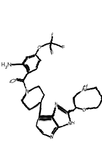 Nc1cc(OC(F)(F)F)ccc1C(=O)N1CCC(c2ccnc3[nH]c(C4CNCCCO4)nc23)CC1